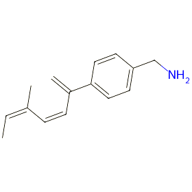 C=C(/C=C\C(C)=C/C)c1ccc(CN)cc1